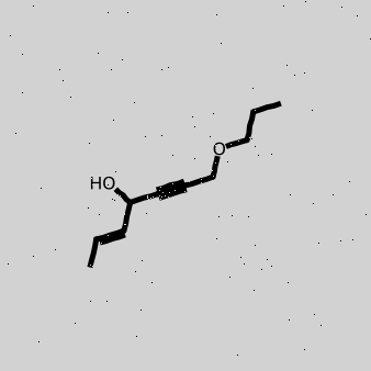 CC=CC(O)C#CCOCCC